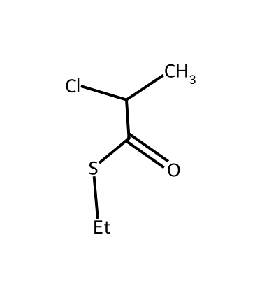 CCSC(=O)C(C)Cl